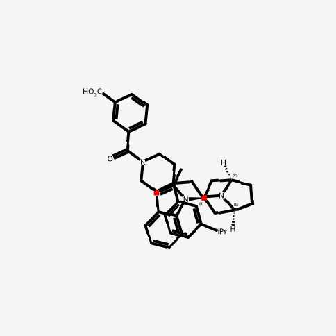 Cc1nc2ccccc2n1[C@H]1C[C@H]2CC[C@@H](C1)N2CCC1(c2cccc(C(C)C)c2)CCN(C(=O)c2cccc(C(=O)O)c2)CC1